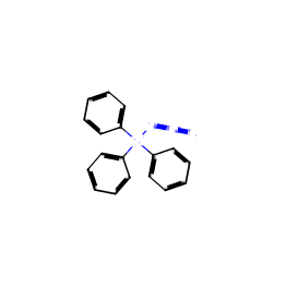 [N-]=[N+]=N[N+](c1ccccc1)(c1ccccc1)c1ccccc1